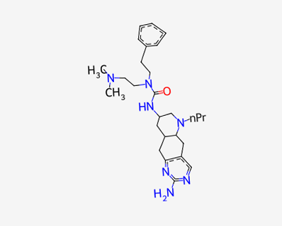 CCCN1CC(NC(=O)N(CCc2ccccc2)CCN(C)C)CC2Cc3nc(N)ncc3CC21